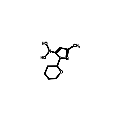 Cc1cc(N(O)O)n(C2CCCCO2)n1